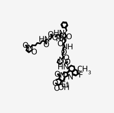 CC[C@@]1(O)C(=O)OCc2c1cc1n(c2=O)Cc2c-1nc1cc(F)c(C)c3c1c2[C@@H](NC(=O)[C@@H]1CCCN1C(=O)COCNC(=O)CNC(=O)[C@H](Cc1ccccc1)NC(=O)COC(=O)CNC(=O)CCCCCN1C(=O)C=CC1=O)CC3